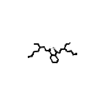 CCCCC(CC)CCC(=O)C1CCCCC1C(=O)CCC(CC)CCCC